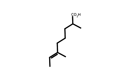 C/C=C(\C)CCCC(C)C(=O)O